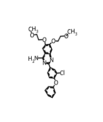 COCCOc1cc2nc(-c3ccc(Oc4ccccc4)c(Cl)c3)nc(N)c2cc1OCCOC